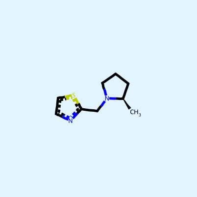 C[C@@H]1CCCN1Cc1nccs1